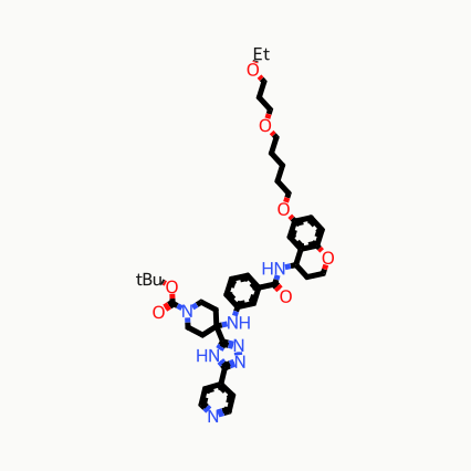 CCOCCCOCCCCCOc1ccc2c(c1)C(NC(=O)c1cccc(NC3(c4nnc(-c5ccncc5)[nH]4)CCN(C(=O)OC(C)(C)C)CC3)c1)CCO2